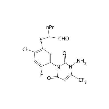 CCCC(C=O)Sc1cc(-n2c(=O)cc(C(F)(F)F)n(N)c2=O)c(F)cc1Cl